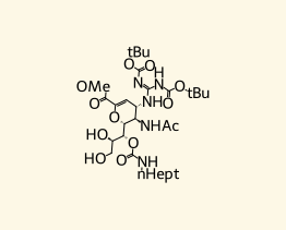 CCCCCCCNC(=O)O[C@@H]([C@@H]1OC(C(=O)OC)=C[C@H](NC(=NC(=O)OC(C)(C)C)NC(=O)OC(C)(C)C)[C@H]1NC(C)=O)[C@H](O)CO